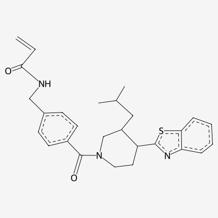 C=CC(=O)NCc1ccc(C(=O)N2CCC(c3nc4ccccc4s3)C(CC(C)C)C2)cc1